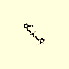 O=C(OCCN1CCOC1O)OCCN1CCOC1O